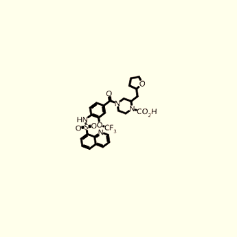 O=C(c1ccc(NS(=O)(=O)c2cccc3cccnc23)c(OC(F)(F)F)c1)N1CCN(C(=O)O)C(CC2CCCO2)C1